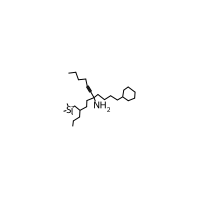 CCCCC#CC(N)(CCCCC1CCCCC1)CCC(CCC)C[Si](C)(C)C